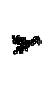 CN(C)C(=O)C1([N+]2(CCC(CN(C)C(=O)c3ccc(NC(=O)OC(C)(C)C)cc3)c3ccc(Cl)c(Cl)c3)CCCCC2)CCNCC1